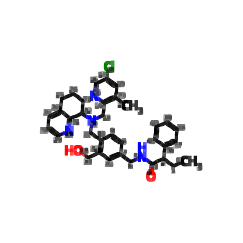 CCC(C(=O)NCc1ccc(CN(Cc2ncc(Cl)cc2C)C2CCCc3cccnc32)c(CO)c1)c1ccccc1